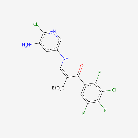 CCOC(=O)C(=CNc1cnc(Cl)c(N)c1)C(=O)c1cc(F)c(F)c(Cl)c1F